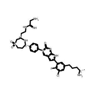 C[C@H](N)CCCc1cc(Cl)c(F)c(-c2cc3cn(-c4ccc([C@@H]5CCS(=O)(=O)C[C@@H](CCNC(=N)CN)N5)cc4)c(=O)nc3[nH]2)c1